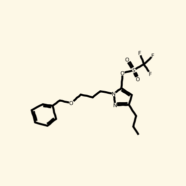 CCCc1cc(OS(=O)(=O)C(F)(F)F)n(CCCOCc2ccccc2)n1